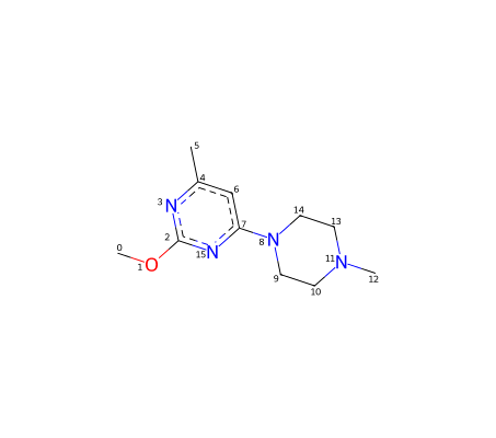 COc1nc(C)cc(N2CCN(C)CC2)n1